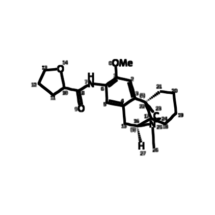 COc1cc2c(cc1NC(=O)C1CCCO1)C[C@H]1C3CCCC[C@@]23CCN1C